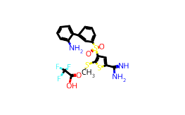 CSc1sc(C(=N)N)cc1S(=O)(=O)c1cccc(-c2ccccc2N)c1.O=C(O)C(F)(F)F